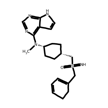 CN(c1ncnc2[nH]ccc12)[C@H]1CC[C@@H](CS(=N)(=O)CC2=CC=CCC2)CC1